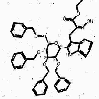 CCOC(=O)C(Cc1c([C@H]2O[C@H](COCc3ccccc3)[C@@H](OCc3ccccc3)[C@H](OCc3ccccc3)[C@@H]2OCc2ccccc2)[nH]c2ccccc12)=NO